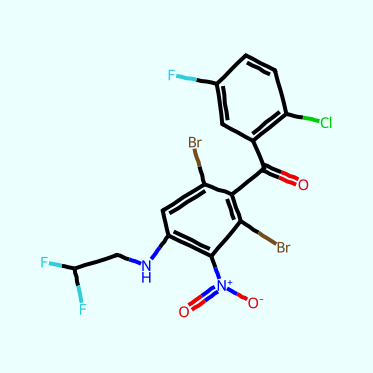 O=C(c1cc(F)ccc1Cl)c1c(Br)cc(NCC(F)F)c([N+](=O)[O-])c1Br